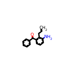 C=CCc1c(N)cccc1C(=O)c1ccccc1